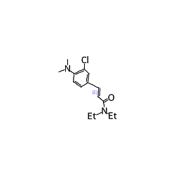 CCN(CC)C(=O)/C=C/c1ccc(N(C)C)c(Cl)c1